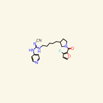 N#CN=C(NCCCCCC1CCN(C(=O)c2occc2F)C1)Nc1ccncc1